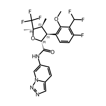 COc1c([C@H]2[C@H](C(=O)Nc3ccc4cnnn4c3)O[C@@](C)(C(F)(F)F)[C@H]2C)ccc(F)c1C(F)F